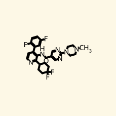 CN1CCN(c2ncc(C(=O)Nc3c(-c4cc(F)ccc4F)ccnc3C3CCC(F)(F)CC3)cn2)CC1